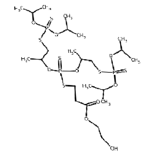 CC(C)OP(=S)(OC(C)C)SCC(C)OP(=S)(OC(C)CSP(=S)(OC(C)C)OC(C)C)SCCC(=O)OCCO